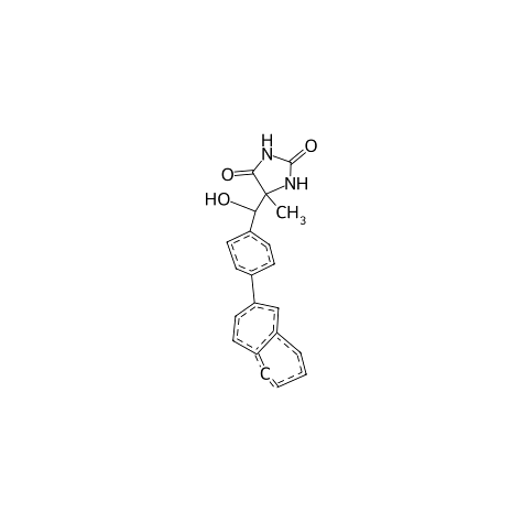 CC1(C(O)c2ccc(-c3ccc4ccccc4c3)cc2)NC(=O)NC1=O